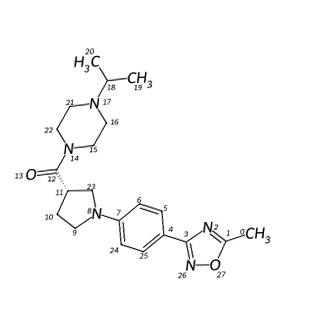 Cc1nc(-c2ccc(N3CC[C@H](C(=O)N4CCN(C(C)C)CC4)C3)cc2)no1